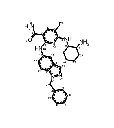 NC(=O)c1cc(F)c(N[C@@H]2CCCC[C@@H]2N)nc1Nc1ccc2c(cnn2Cc2ccccc2)c1